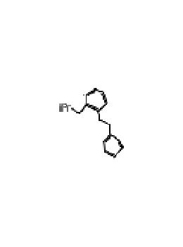 CC(C)Cc1[c]cccc1CCc1ccccc1